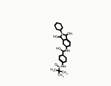 CC(C)(C)[S+]([O-])NC1=CCC(C(O)NC2CC=C3C(C2)C(O)N(C2CCCCC2)C3O)CC1